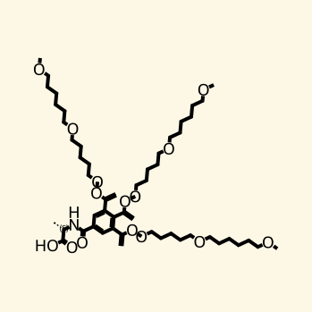 C=C(OOCCCCCOCCCCCCOC)c1cc(C(=O)N[C@@H](C)C(=O)O)cc(C(=C)OOCCCCCOCCCCCCOC)c1C(=C)OOCCCCCOCCCCCCOC